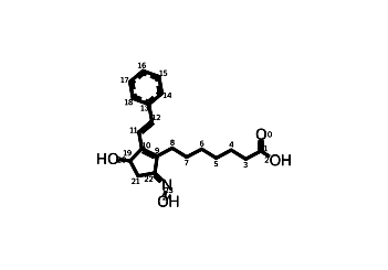 O=C(O)CCCCCCC1=C(/C=C/c2ccccc2)C(O)C/C1=N\O